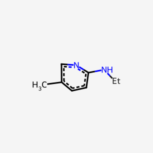 CCNc1ccc(C)cn1